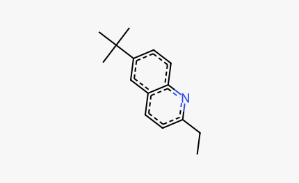 CCc1ccc2cc(C(C)(C)C)ccc2n1